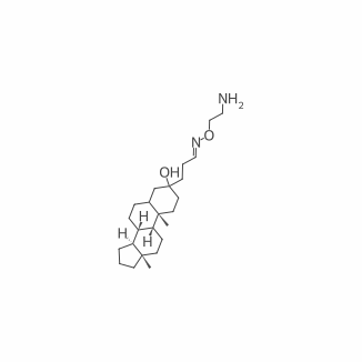 C[C@@]12CCC[C@H]1[C@@H]1CCC3CC(O)(CC/C=N/OCCN)CC[C@]3(C)[C@@H]1CC2